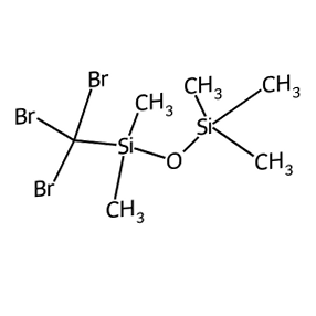 C[Si](C)(C)O[Si](C)(C)C(Br)(Br)Br